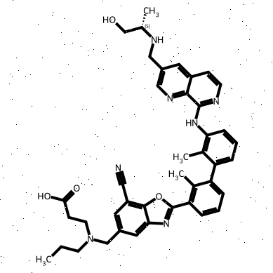 CCCN(CCC(=O)O)Cc1cc(C#N)c2oc(-c3cccc(-c4cccc(Nc5nccc6cc(CN[C@@H](C)CO)cnc56)c4C)c3C)nc2c1